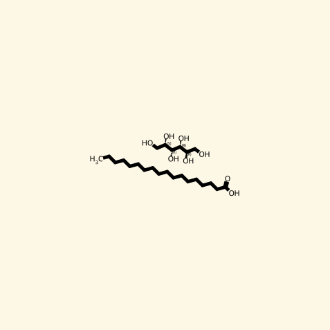 CCCCCCCCCCCCCCCCCC(=O)O.OC[C@@H](O)[C@@H](O)[C@H](O)[C@@H](O)CO